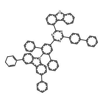 C1=CC(c2ccc3c(c2)c2cc(-c4ccccc4)ccc2n3-c2c(-c3ccccc3)cc(-c3nc(-c4ccc(-c5ccccc5)cc4)nc(-c4cccc5oc6ccccc6c45)n3)cc2-c2ccccc2)=CCC1